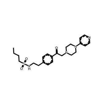 CCCCS(=O)(=O)NCCc1ccc(C(=O)CN2CCN(c3ccncc3)CC2)cc1